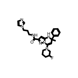 CC1(c2ccccc2)C=C(N2CCCC(F)C2)n2nc(C(=O)NCCCn3ccnc3)cc2N1